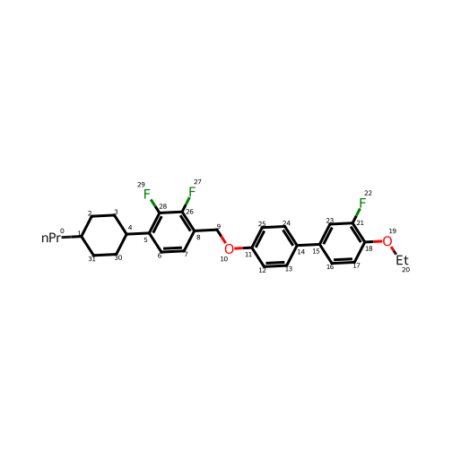 CCCC1CCC(c2ccc(COc3ccc(-c4ccc(OCC)c(F)c4)cc3)c(F)c2F)CC1